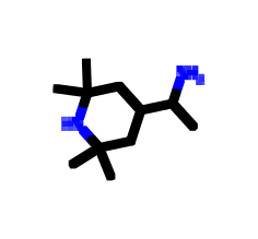 CC(N)C1CC(C)(C)NC(C)(C)C1